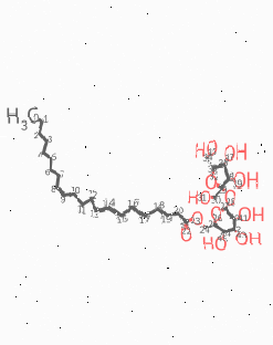 CCCCCCCC/C=C\CCCCCCCCCCCC(=O)OC[C@H]1O[C@H](O[C@]2(CO)O[C@H](CO)[C@@H](O)[C@@H]2O)[C@H](O)[C@@H](O)[C@@H]1O